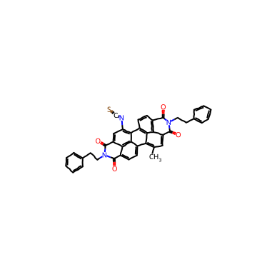 Cc1cc2c3c(ccc4c5c(N=C=S)cc6c7c(ccc(c1c34)c75)C(=O)N(CCc1ccccc1)C6=O)C(=O)N(CCc1ccccc1)C2=O